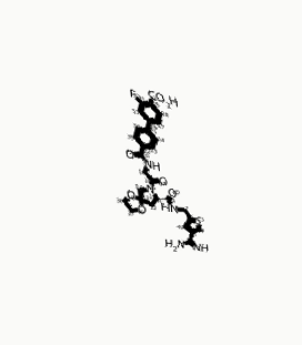 N=C(N)c1csc(CNC(=O)[C@@H]2CC3(CN2C(=O)CNC(=O)c2ccc(-c4ccc(C(=O)O)c(F)c4)cc2)OCCO3)c1